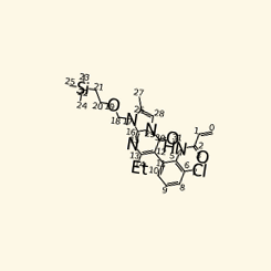 C=CC(=O)Nc1c(Cl)cccc1-c1c(CC)nc2n(COCC[Si](C)(C)C)c(C)cn2c1=O